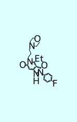 CCc1c2c(=O)n(-c3ccc(F)cc3)[nH]c2cc(=O)n1CCCN1CCOCC1